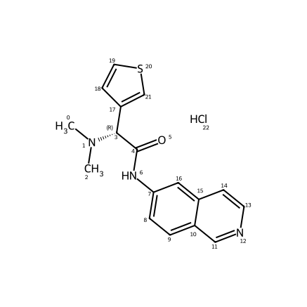 CN(C)[C@@H](C(=O)Nc1ccc2cnccc2c1)c1ccsc1.Cl